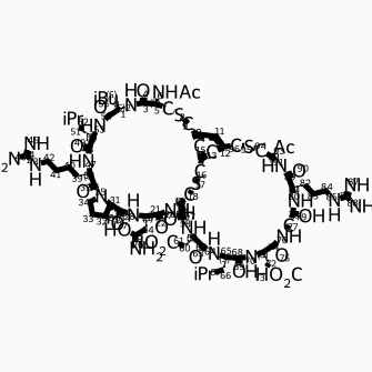 CC[C@H](C)[C@@H]1NC(=O)[C@@H](NC(C)=O)CSCc2cc3cc(c2)CSC[C@H](NC(=O)[C@H](CC(N)O)NC(=O)[C@@H]2CCCN2C(=O)[C@H](CCCCNC(=N)N)NC(=O)[C@H](CC(C)C)NC1=O)C(=O)N[C@@H](CC(=O)O)C(=O)N[C@@H](CC(C)C)C(=O)N[C@@H](CC(=O)O)C(=O)NCC(O)N[C@@H](CCCNC(=N)N)C(=O)N[C@H](C(C)=O)CSC3